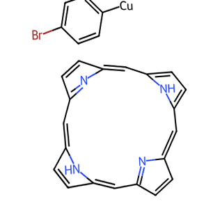 C1=Cc2cc3ccc(cc4nc(cc5ccc(cc1n2)[nH]5)C=C4)[nH]3.[Cu][c]1ccc(Br)cc1